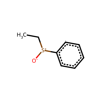 CC[S+]([O-])c1[c]cccc1